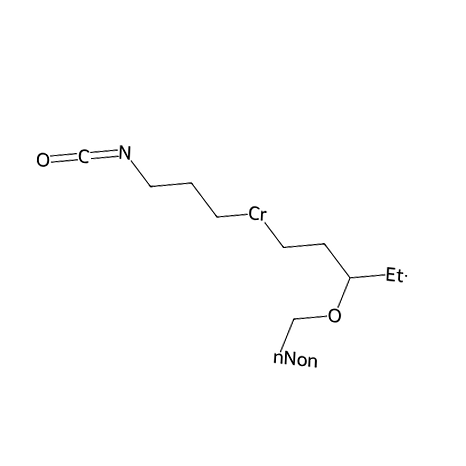 C[CH]C(C[CH2][Cr][CH2]CCN=C=O)OCCCCCCCCCC